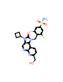 NS(=O)(=O)c1cc(F)c(Cn2c(=O)n(C3CCC3)c3cnc4nc(CO)ccc4c32)c(F)c1